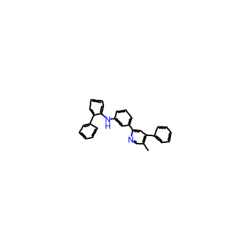 Cc1cnc(-c2cccc(Nc3ccccc3-c3ccccc3)c2)cc1-c1ccccc1